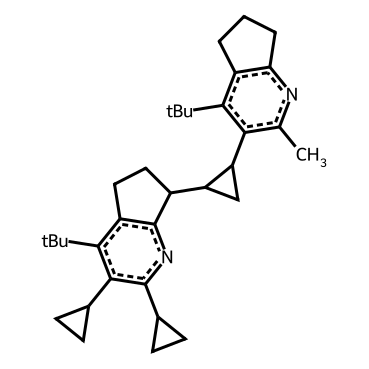 Cc1nc2c(c(C(C)(C)C)c1C1CC1C1CCc3c1nc(C1CC1)c(C1CC1)c3C(C)(C)C)CCC2